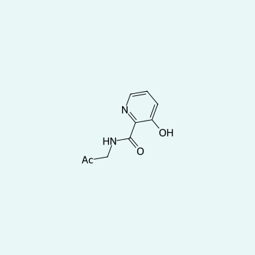 CC(=O)CNC(=O)c1ncccc1O